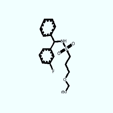 CC(C)(C)COCCCS(=O)(=O)NC(c1ccccc1)c1cccc(F)c1